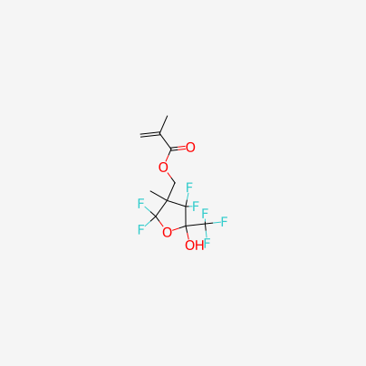 C=C(C)C(=O)OCC1(C)C(F)(F)OC(O)(C(F)(F)F)C1(F)F